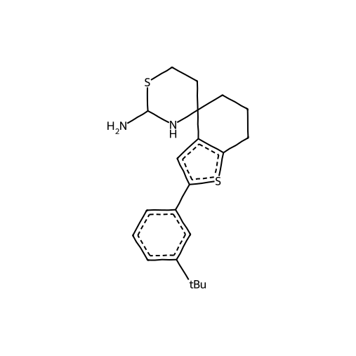 CC(C)(C)c1cccc(-c2cc3c(s2)CCCC32CCSC(N)N2)c1